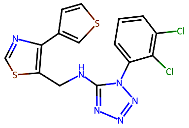 Clc1cccc(-n2nnnc2NCc2scnc2-c2ccsc2)c1Cl